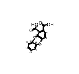 O=C(O)c1ccc2c(c1C(=O)O)Sc1ccccc1S2